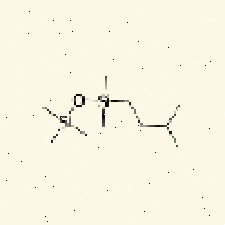 CC(C)CC[Si](C)(C)O[Si](C)(C)C